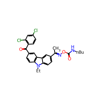 CCCCNC(=O)O/N=C(\C)c1ccc2c(c1)c1cc(C(=O)c3ccc(Cl)cc3Cl)ccc1n2CC